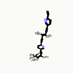 C#Cc1ccc(C#C/C(CCC)=C(/C#Cc2ccc(C#C/C(CCC)=C(/CCCC)[Si](C(C)C)(C(C)C)C(C)C)cn2)CCCC)cn1